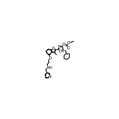 CCOC(=O)O[C@H]1N=C(c2oc3cccc(OCCCNCc4cccnc4)c3c2C)O[C@@H]1CC1CCCCC1